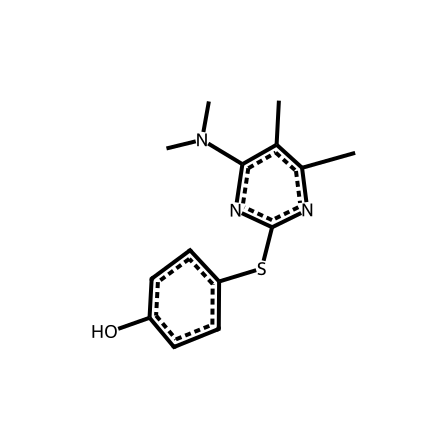 Cc1nc(Sc2ccc(O)cc2)nc(N(C)C)c1C